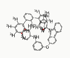 [2H]c1c([2H])c([2H])c(-c2cccc(-c3c([2H])c([2H])c([2H])c([2H])c3[2H])c2Nc2ccccc2Nc2cccc(Oc3ccc4c5ccccc5n(-c5cc(C(C)(C)C)ccn5)c4c3)c2)c([2H])c1[2H]